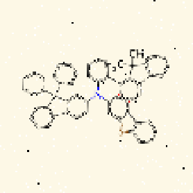 CC1(C)c2ccccc2-c2cccc(-c3ccccc3N(c3ccc4c(c3)C(c3ccccc3)(c3ccccc3)c3ccccc3-4)c3ccc4c(c3)sc3ccccc34)c21